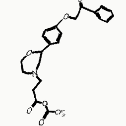 O=C(CCN1CCOC(c2ccc(OCC(=O)c3ccccc3)cc2)C1)OC(=O)C(F)(F)F